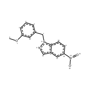 COc1cccc(Cn2ncc3cc([N+](=O)[O-])ccc32)c1